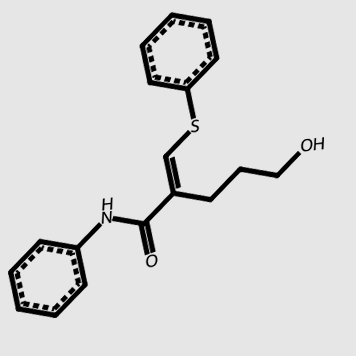 O=C(Nc1ccccc1)C(=CSc1ccccc1)CCCO